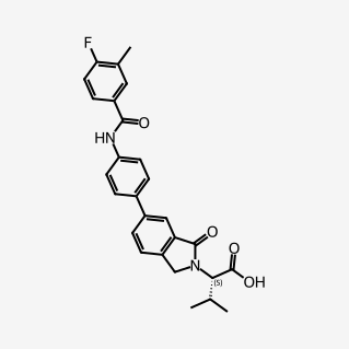 Cc1cc(C(=O)Nc2ccc(-c3ccc4c(c3)C(=O)N([C@H](C(=O)O)C(C)C)C4)cc2)ccc1F